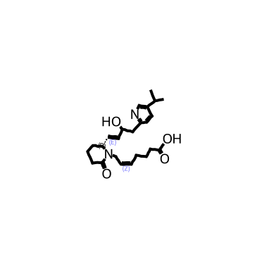 CC(C)c1ccc(CC(O)/C=C/[C@H]2CCCC(=O)N2C/C=C\CCCC(=O)O)nc1